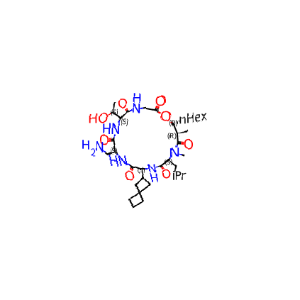 CCCCCC[C@H]1OC(=O)CNC(=O)[C@H]([C@H](C)O)NC(=O)[C@H](CN)NC(=O)[C@H](C2CC3(CCC3)C2)NC(=O)[C@H](CC(C)C)N(C)C(=O)[C@@H]1C